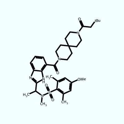 COc1cc(C)c(S(=O)(=O)N(C)C(C)c2nc3cccc(C(=O)N4CCC5(CCN(C(=O)CC(C)(C)C)CC5)CC4)c3[nH]2)c(C)c1